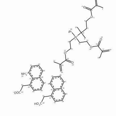 C=C(C)C(=O)OCCC(C)(C)[N+](CCOC(=O)C(=C)C)(CCOC(=O)C(=C)C)C(C)C.N.O=C(O)Cc1cccc2ccccc12.O=C([O-])Cc1cccc2ccccc12